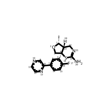 C[C@H]1OC[C@]2(c3cc(-c4cnccn4)ccc3F)SC(N)=NC[C@@H]12